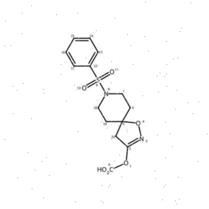 O=C(O)OC1=NOC2(CCN(S(=O)(=O)c3ccccc3)CC2)C1